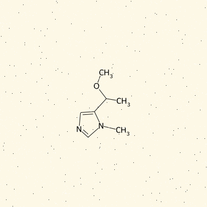 COC(C)c1cncn1C